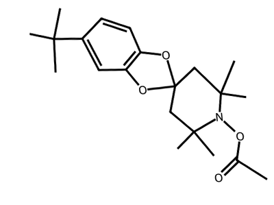 CC(=O)ON1C(C)(C)CC2(CC1(C)C)Oc1ccc(C(C)(C)C)cc1O2